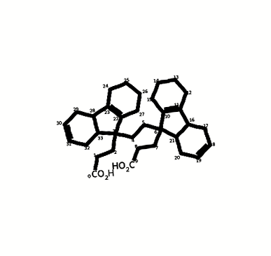 O=C(O)CCC1(CCC2(CCC(=O)O)C3=C(CCCC3)C3CC=CCC32)C2=C(CCCC2)C2CC=CCC21